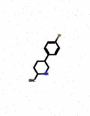 O=CC1CCC(c2ccc(Br)cc2)CN1